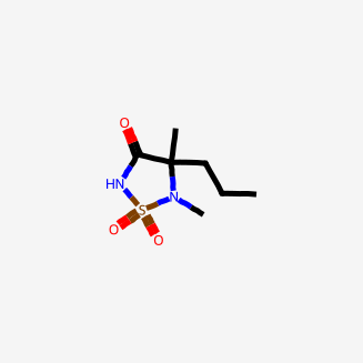 CCCC1(C)C(=O)NS(=O)(=O)N1C